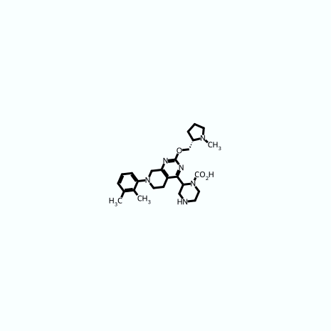 Cc1cccc(N2CCc3c(nc(OC[C@@H]4CCCN4C)nc3C3CNCCN3C(=O)O)C2)c1C